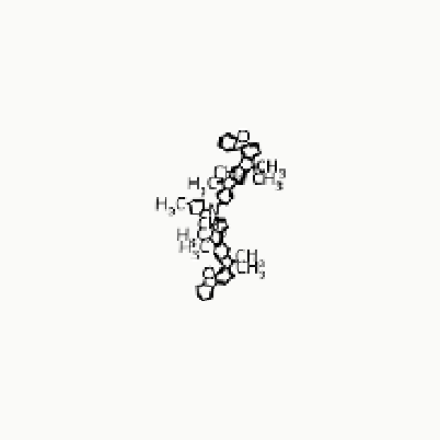 Cc1ccc(N(c2ccc3c(c2)C(C)(C)c2cc4c(cc2-3)C(C)(C)c2ccc3c(oc5ccccc53)c2-4)c2ccc3c(c2)C(C)(C)c2cc4c(cc2-3)C(C)(C)c2ccc3oc5ccccc5c3c2-4)c(C)c1